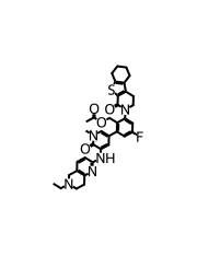 CCN1CCc2nc(Nc3cc(-c4cc(F)cc(N5CCc6c(sc7c6CCCC7)C5=O)c4COC(C)=O)cn(C)c3=O)ccc2C1